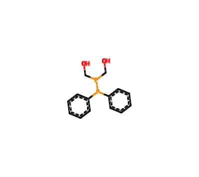 OCP(CO)P(c1ccccc1)c1ccccc1